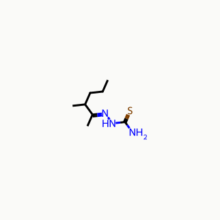 CCCC(C)C(C)=NNC(N)=S